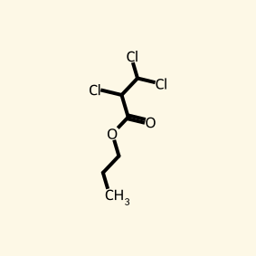 CCCOC(=O)C(Cl)C(Cl)Cl